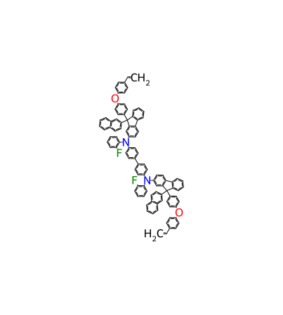 C=Cc1ccc(Oc2ccc(C3(c4ccc5ccccc5c4)c4ccccc4-c4ccc(N(c5ccc(-c6ccc(N(c7ccc8c(c7)C(c7ccc(Oc9ccc(C=C)cc9)cc7)(c7ccc9ccccc9c7)c7ccccc7-8)c7ccccc7F)cc6)cc5)c5ccccc5F)cc43)cc2)cc1